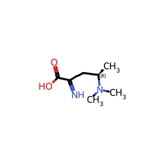 C[C@H](CC(=N)C(=O)O)N(C)C